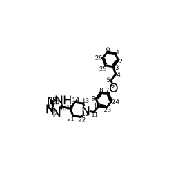 c1ccc(CCOc2ccc(CN3CCC(c4nnn[nH]4)CC3)cc2)cc1